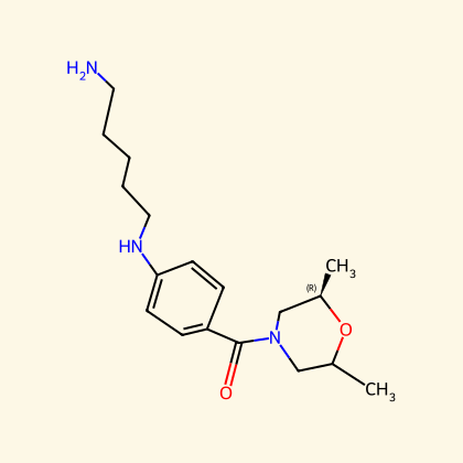 CC1CN(C(=O)c2ccc(NCCCCCN)cc2)C[C@@H](C)O1